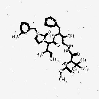 CCC(C)C(C(=O)NC(Cc1ccccc1)C(O)CNNC(=O)C(NC(=O)OC)C(C)(C)C)N1CCN(Cc2cccc(C)n2)C1=O